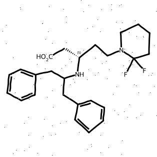 O=C(O)C[C@H](CCN1CCCCC1(F)F)NC(Cc1ccccc1)Cc1ccccc1